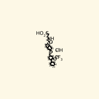 Cl.O=C(O)CCNCC(=O)N1CCc2cc(OCc3ccc(-c4ccccc4)c(OC(F)(F)F)c3)ccc21